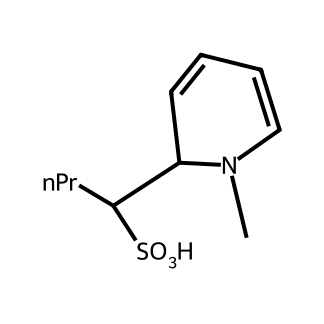 CCCC(C1C=CC=CN1C)S(=O)(=O)O